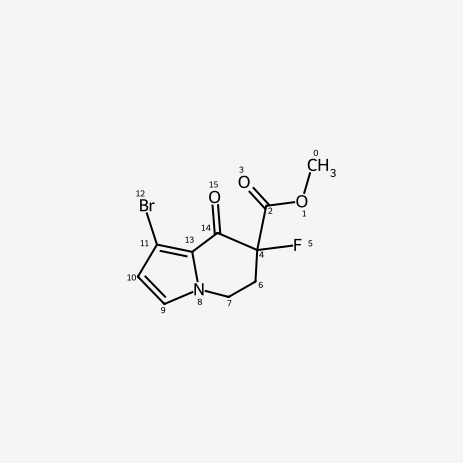 COC(=O)C1(F)CCn2ccc(Br)c2C1=O